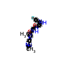 Cc1cnc(-c2ccc(N3CCN(C(=O)CN4CC[C@@H](C(=O)Nc5ccc6[nH]nc(-c7ccc(F)cc7)c6c5)C4)[C@H](C)C3)cc2)nc1